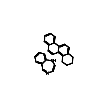 C1=CNc2ccccc2C=N1.c1ccc2c(c1)ccc1c3c(ccc12)CCCC3